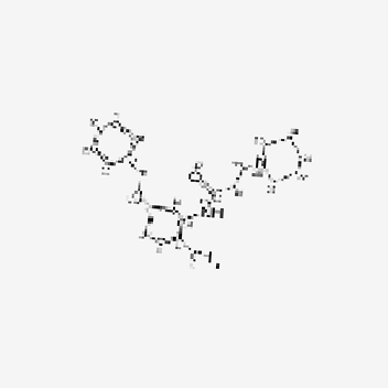 Cc1ccc(OCc2ccccc2)cc1NC(=O)CCN1CCCCC1